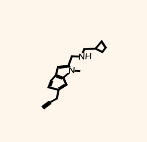 C#CCc1ccc2cc(CNCC3CCC3)n(C)c2c1